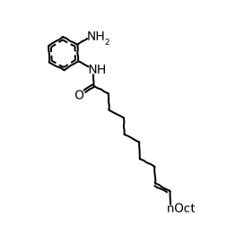 CCCCCCCCC=CCCCCCCCC(=O)Nc1ccccc1N